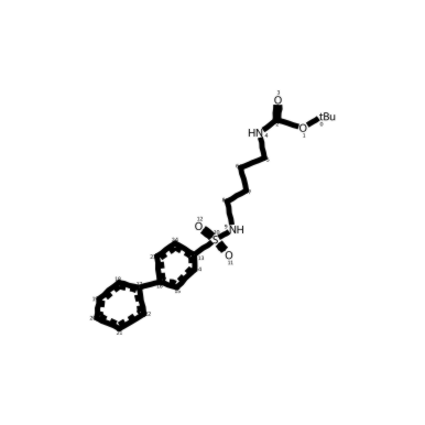 CC(C)(C)OC(=O)NCCCCNS(=O)(=O)c1ccc(-c2ccccc2)cc1